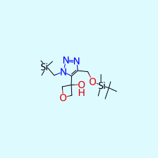 CC(C)(C)[Si](C)(C)OCc1nnn(C[Si](C)(C)C)c1C1(O)COC1